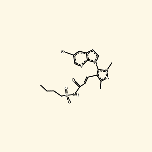 CCCCS(=O)(=O)NC(=O)C=Cc1c(C)nn(C)c1-n1ccc2cc(Br)cnc21